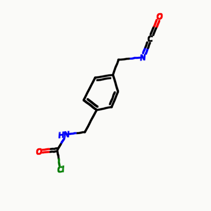 O=C=NCc1ccc(CNC(=O)Cl)cc1